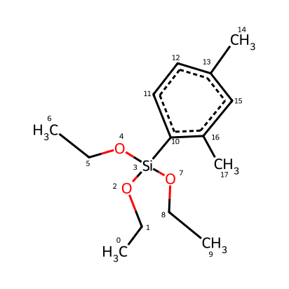 CCO[Si](OCC)(OCC)c1ccc(C)cc1C